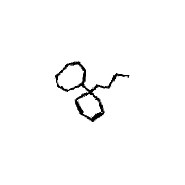 CCCCC1(C2CCCCCC2)C=CC=CC1